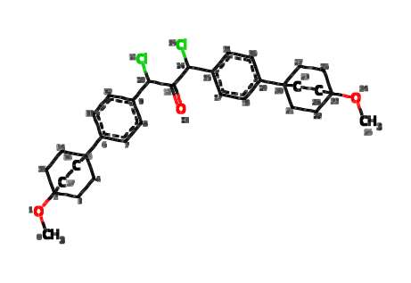 COC12CCC(c3ccc(C(Cl)C(=O)C(Cl)c4ccc(C56CCC(OC)(CC5)CC6)cc4)cc3)(CC1)CC2